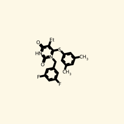 CCc1c(Sc2cc(C)cc(C)c2)n(Cc2cc(F)cc(F)c2)c(=O)[nH]c1=O